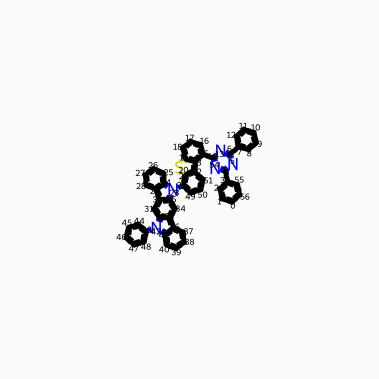 c1ccc(-c2nc(-c3ccccc3)nc(-c3cccc4sc5c(-n6c7ccccc7c7cc8c(cc76)c6ccccc6n8-c6ccccc6)cccc5c34)n2)cc1